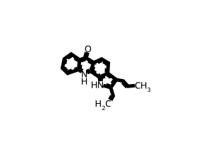 C=Cc1[nH]c2c(ccc3c(=O)c4ccccc4[nH]c32)c1C=CC